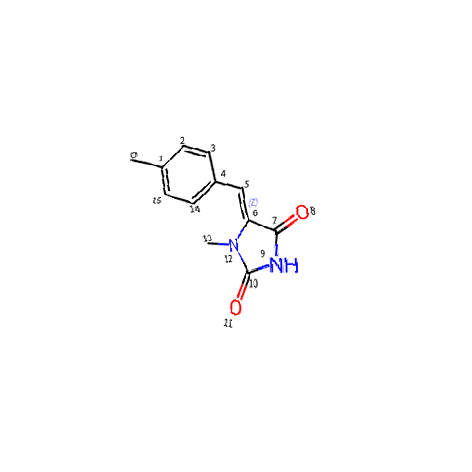 Cc1ccc(/C=C2/C(=O)NC(=O)N2C)cc1